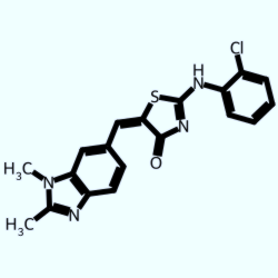 Cc1nc2ccc(C=C3SC(Nc4ccccc4Cl)=NC3=O)cc2n1C